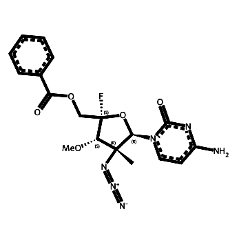 CO[C@H]1[C@@](C)(N=[N+]=[N-])[C@H](n2ccc(N)nc2=O)O[C@]1(F)COC(=O)c1ccccc1